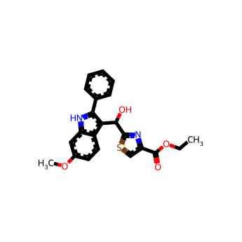 CCOC(=O)c1csc(C(O)c2c(-c3ccccc3)[nH]c3cc(OC)ccc23)n1